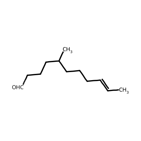 CC=CCCCC(C)CCCC=O